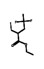 CCOC(=O)C(CC)CC(C)(F)F